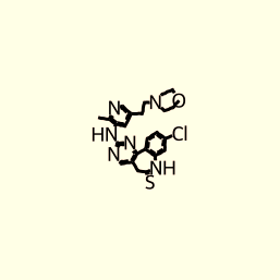 Cc1ncc(CCN2CCOCC2)cc1Nc1ncc2c(n1)-c1ccc(Cl)cc1NC(=S)C2